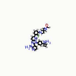 CC(=O)N1CC2(CCN(c3cccc(-c4ccc5nc(-c6cccnc6N)n(-c6ccc(C7(N)CCC7)cc6)c5n4)c3F)C2)C1